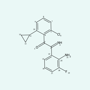 N=C(C(=O)c1c(Cl)cccc1C1CC1)c1cccc(F)c1N